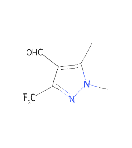 Cc1c(C=O)c(C(F)(F)F)nn1C